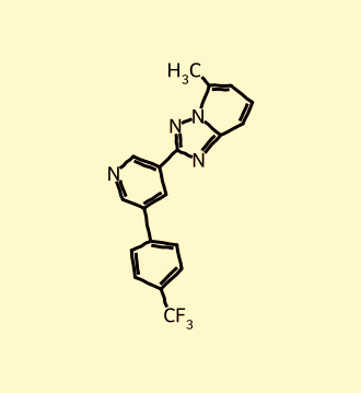 Cc1cccc2nc(-c3cncc(-c4ccc(C(F)(F)F)cc4)c3)nn12